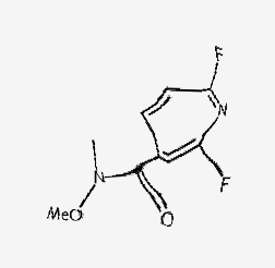 CON(C)C(=O)c1ccc(F)nc1F